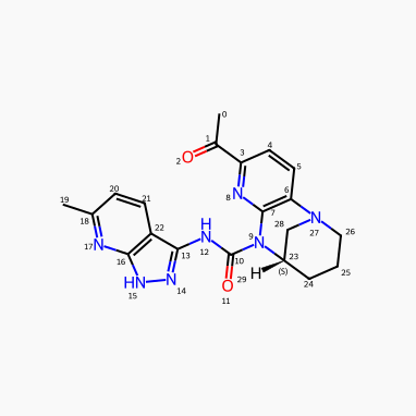 CC(=O)c1ccc2c(n1)N(C(=O)Nc1n[nH]c3nc(C)ccc13)[C@H]1CCCN2C1